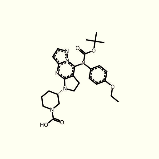 CCOc1ccc(N(C(=O)OC(C)(C)C)c2c3c(nc4ccnn24)N([C@H]2CCCN(C(=O)O)C2)CC3)cc1